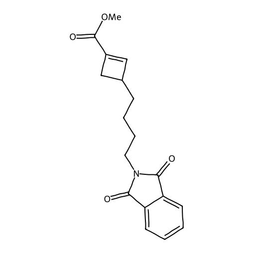 COC(=O)C1=CC(CCCCN2C(=O)c3ccccc3C2=O)C1